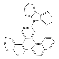 c1ccc2c(c1)ccc1c3ccc4ccccc4c3c3nc(-n4c5ccccc5c5ccccc54)nnc3c21